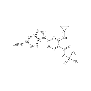 CC(C)(C)OC(=O)c1cnc(-n2ncc3cc(C#N)cnc32)cc1NC1CC1